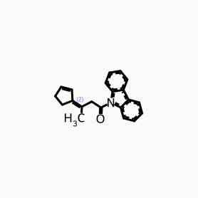 C/C(CC(=O)n1c2ccccc2c2ccccc21)=C1/C=CCC1